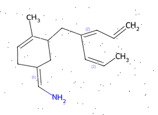 C=C/C=C(\C=C/C)CC1C/C(=C\N)CC=C1C